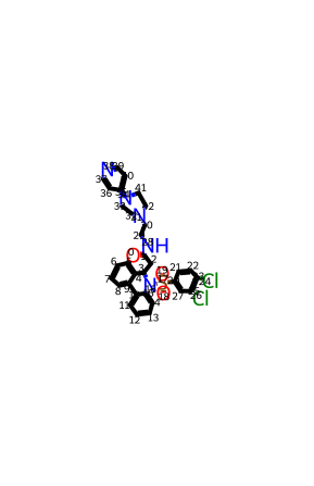 O=C(CC1c2ccccc2-c2ccccc2N1S(=O)(=O)c1ccc(Cl)c(Cl)c1)NCCN1CCN(c2ccncc2)CC1